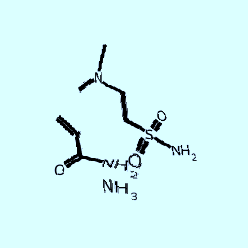 C=CC(N)=O.CN(C)CCS(N)(=O)=O.N